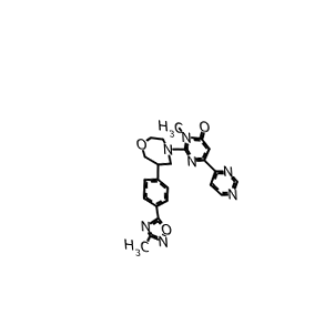 Cc1noc(-c2ccc(C3COCCN(c4nc(-c5ccncn5)cc(=O)n4C)C3)cc2)n1